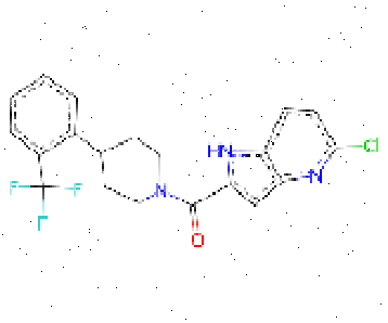 O=C(c1cc2nc(Cl)ccc2[nH]1)N1CCC(c2ccccc2C(F)(F)F)CC1